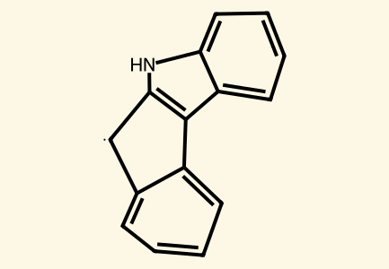 [CH]1c2ccccc2-c2c1[nH]c1ccccc21